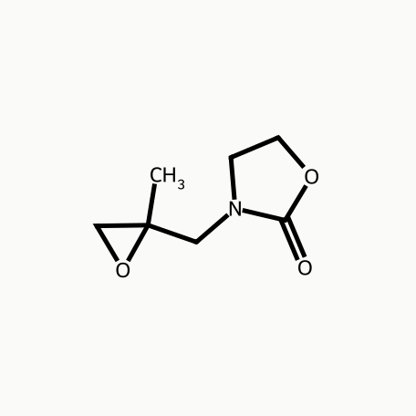 CC1(CN2CCOC2=O)CO1